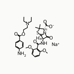 CCN(CC)CCOC(=O)c1ccc(N)cc1.COc1cccc(OC)c1C(=O)N[C@@H]1C(=O)N2[C@@H]1SC(C)(C)[C@@H]2C(=O)[O-].[Na+]